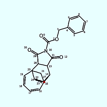 O=C(OCc1ccccc1)N1C(=O)C2C3C4C=CC=CC(C4)(C4C=CC=CC34)C2C1=O